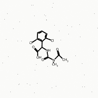 CC(=O)N(C)C(=O)NC(C(=O)O)c1c(Cl)cccc1Cl